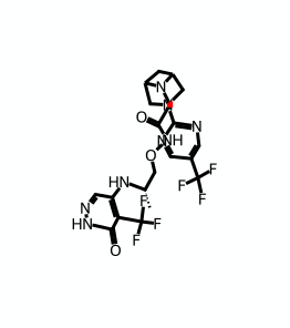 C[C@@H](CONC(=O)CN1C2CC1CN(c1ncc(C(F)(F)F)cn1)C2)Nc1cn[nH]c(=O)c1C(F)(F)F